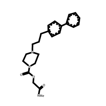 CNC(=O)COC(=O)N1CCN(CCCc2ccc(-c3ccccc3)cc2)CC1